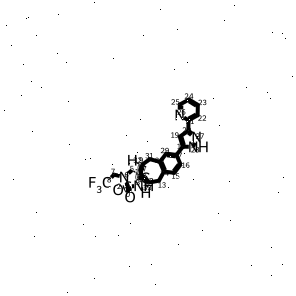 O=S1(=O)N[C@@]2(CN1CC(F)(F)F)[C@@H]1CC[C@H]2Cc2ccc(-c3cc(-c4ccccn4)n[nH]3)cc2C1